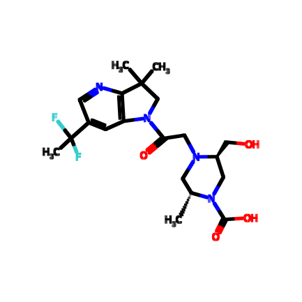 C[C@@H]1CN(CC(=O)N2CC(C)(C)c3ncc(C(C)(F)F)cc32)[C@@H](CO)CN1C(=O)O